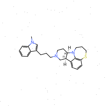 Cn1cc(CCCN2CC[C@@H]3[C@H](C2)c2cccc4c2N3CCCS4)c2ccccc21